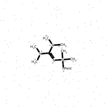 CCCCC[Si](C)(C)N=C(N(C)C)N(C)C